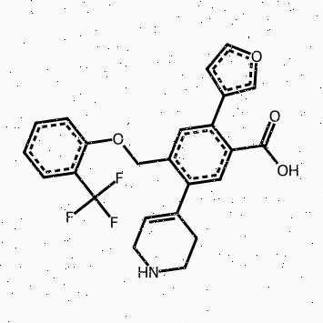 O=C(O)c1cc(C2=CCNCC2)c(COc2ccccc2C(F)(F)F)cc1-c1ccoc1